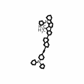 CC1(C)c2cc(-c3ccc4cc(C#Cc5ccc(N(c6ccccc6)c6ccccc6)cc5)ccc4c3)ccc2-c2ccc3c4ccccc4n(-c4ccccc4)c3c21